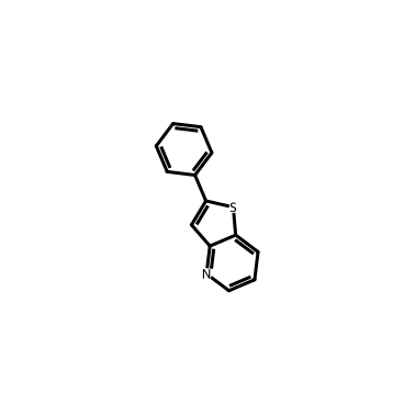 c1ccc(-c2cc3ncccc3s2)cc1